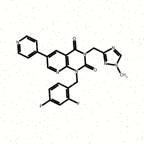 Cn1cnc(Cn2c(=O)c3cc(-c4ccncc4)cnc3n(Cc3ccc(F)cc3F)c2=O)n1